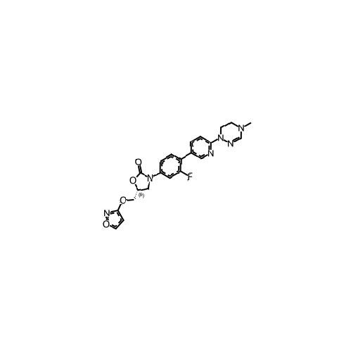 CN1C=NN(c2ccc(-c3ccc(N4C[C@H](COc5ccon5)OC4=O)cc3F)cn2)CC1